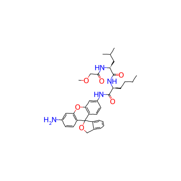 CCCC[C@H](NC(=O)[C@H](CC(C)C)NC(=O)COC)C(=O)Nc1ccc2c(c1)Oc1cc(N)ccc1C21OCc2ccccc21